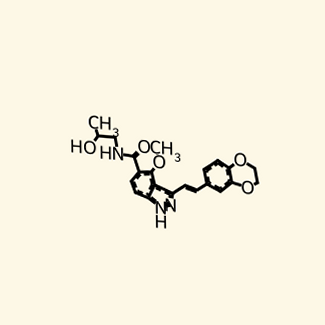 COc1c(C(=O)NCC(C)O)ccc2[nH]nc(/C=C/c3ccc4c(c3)OCCO4)c12